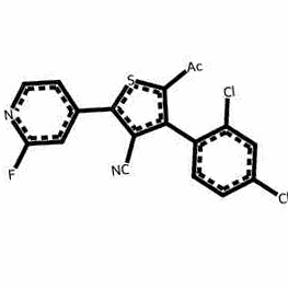 CC(=O)c1sc(-c2ccnc(F)c2)c(C#N)c1-c1ccc(Cl)cc1Cl